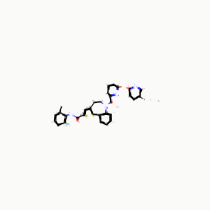 COc1ccc(Oc2cccc(C(=O)N3CCc4cc(C(=O)Nc5c(C)cccc5F)sc4-c4ccccc43)n2)nc1